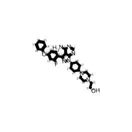 Nc1ncnc2c1c(-c1ccc(Oc3ccccc3)cc1F)nn2C1CCC(N2CCN(CCO)CC2)CC1